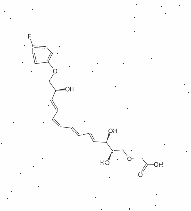 O=C(O)COC[C@@H](O)[C@H](O)/C=C/C=C/C=C\C=C\[C@H](O)COc1ccc(F)cc1